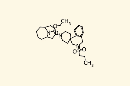 CCCS(=O)(=O)N1Cc2ccccc2C2(CCN(C3CCC4CCCCC(C3)N4C(=O)OCC)CC2)C1